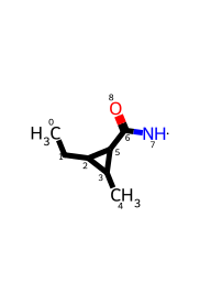 CCC1C(C)C1C([NH])=O